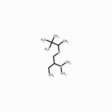 CCC(COC(C)C(C)(C)C)N(C)C